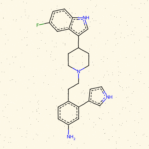 Nc1ccc(CCN2CCC(c3c[nH]c4ccc(F)cc34)CC2)c(-c2cc[nH]c2)c1